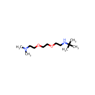 CN(C)CCOCCOCCNC(C)(C)C